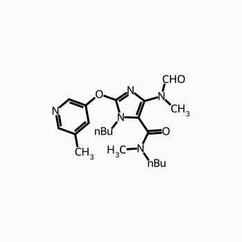 CCCCN(C)C(=O)c1c(N(C)C=O)nc(Oc2cncc(C)c2)n1CCCC